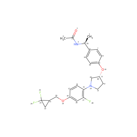 CC(=O)N[C@@H](C)c1ccc(O[C@@H]2CCN(c3ccc(OCC4CC4(F)F)cc3F)C2)cc1